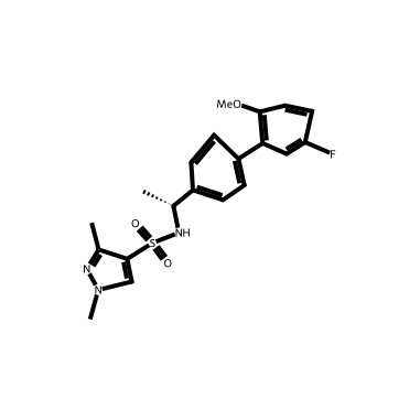 COc1ccc(F)cc1-c1ccc([C@@H](C)NS(=O)(=O)c2cn(C)nc2C)cc1